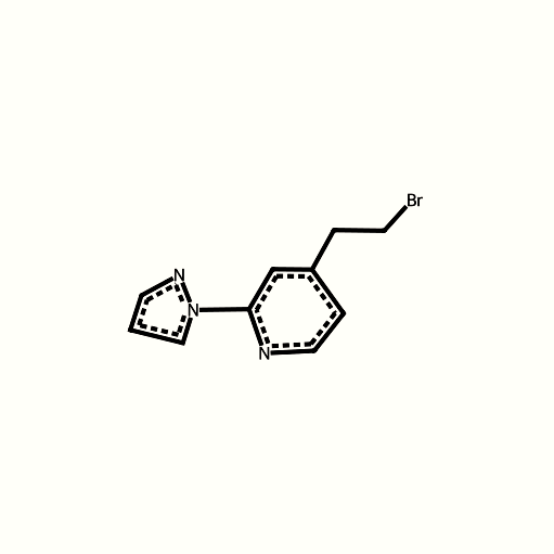 BrCCc1ccnc(-n2cccn2)c1